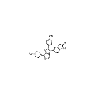 CC(=O)N1CCN(c2nccn3c(-c4ccc5c(c4)CC(=O)N5)c(-c4ccc(C#N)cc4)nc23)CC1